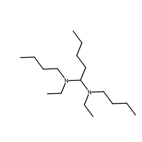 CCCCC(N(CC)CCCC)N(CC)CCCC